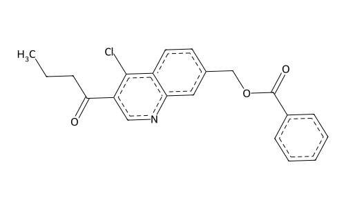 CCCC(=O)c1cnc2cc(COC(=O)c3ccccc3)ccc2c1Cl